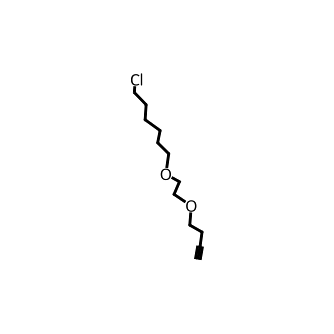 C#CCCOCCOCCCCCCCl